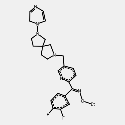 CCON=C(c1ccc(F)c(F)c1)c1ccc(CN2CCC3(CCN(N4C=CN=CC4)C3)C2)cn1